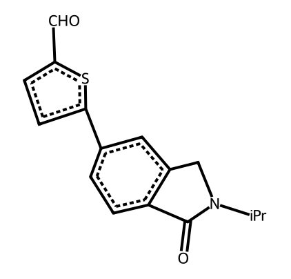 CC(C)N1Cc2cc(-c3ccc(C=O)s3)ccc2C1=O